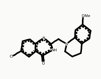 COc1ccc2c(c1)N(Cc1nc3ccc(Cl)cc3c(=O)[nH]1)CCC2